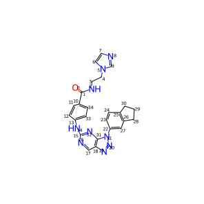 O=C(NCCn1ccnc1)c1ccc(Nc2ncc3nnn(-c4ccc5c(c4)CCC5)c3n2)cc1